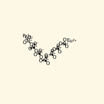 O=[N+]([O-])[O-].O=[N+]([O-])[O-].O=[N+]([O-])[O-].O=[N+]([O-])[O-].O=[N+]([O-])[O-].O=[N+]([O-])[O-].O=[N+]([O-])[O-].[Eu+2].[Pr+3].[Sr+2]